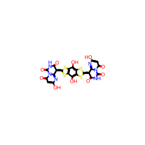 O=c1[nH]c(=O)n2c(=O)cc(O)nc2c1=C1Sc2c(O)c3c(c(O)c2S1)SC(=c1c(=O)[nH]c(=O)n2c(=O)cc(O)nc12)S3